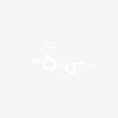 COc1cc(-c2nc(CO)c[nH]2)ccc1Cl